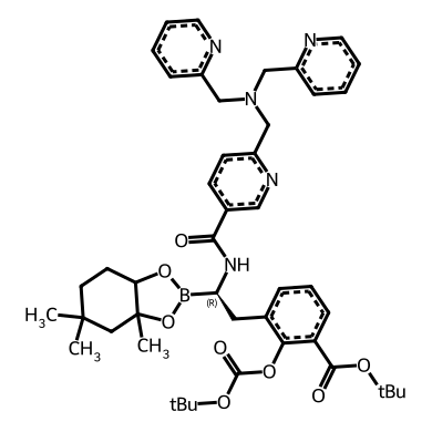 CC1(C)CCC2OB([C@H](Cc3cccc(C(=O)OC(C)(C)C)c3OC(=O)OC(C)(C)C)NC(=O)c3ccc(CN(Cc4ccccn4)Cc4ccccn4)nc3)OC2(C)C1